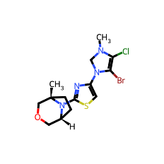 CN1CN(c2csc(N3[C@@H]4CC[C@@]3(C)COC4)n2)C(Br)=C1Cl